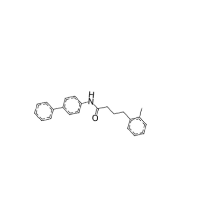 Cc1ccccc1CCCC(=O)Nc1ccc(-c2ccccc2)cc1